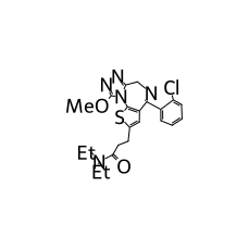 CCN(CC)C(=O)CCc1cc2c(s1)-n1c(nnc1OC)CN=C2c1ccccc1Cl